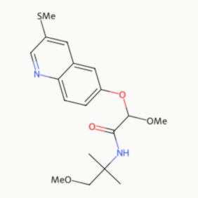 COCC(C)(C)NC(=O)C(OC)Oc1ccc2ncc(SC)cc2c1